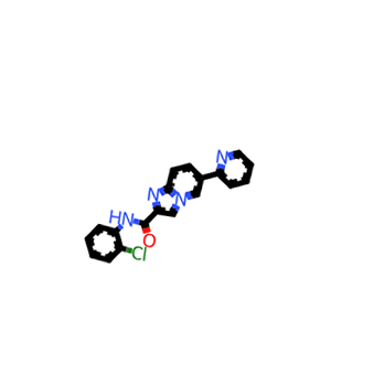 O=C(Nc1ccccc1Cl)c1cn2cc(-c3ccccn3)ccc2n1